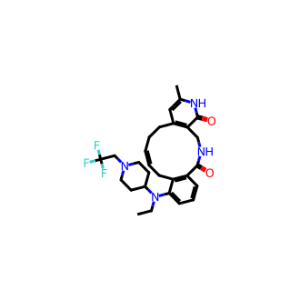 CCN(c1cccc2c1CC=CCCc1cc(C)[nH]c(=O)c1CNC2=O)C1CCN(CC(F)(F)F)CC1